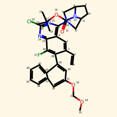 C=Cc1cc2c(N3CC4CCC(C3)N4C(=O)OC(C)(C)C)nc(Cl)nc2c(F)c1-c1cc(OCOC)cc2ccccc12